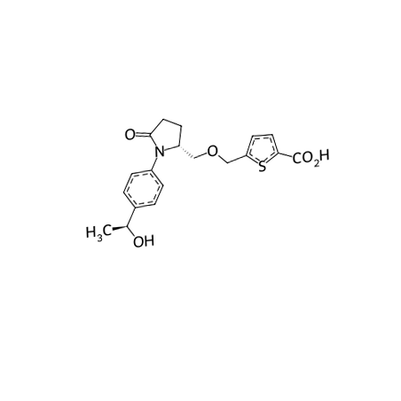 C[C@H](O)c1ccc(N2C(=O)CC[C@@H]2COCc2ccc(C(=O)O)s2)cc1